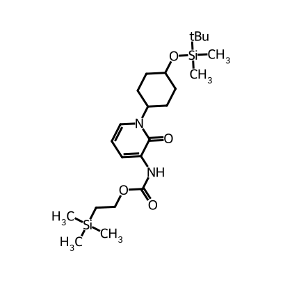 CC(C)(C)[Si](C)(C)OC1CCC(n2cccc(NC(=O)OCC[Si](C)(C)C)c2=O)CC1